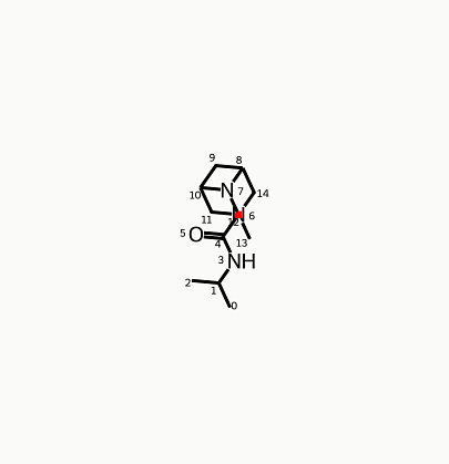 CC(C)NC(=O)CN1C2CC1CN(C)C2